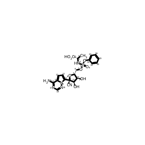 C[C@H](NP(=O)(OC[C@H]1O[C@@](C#N)(c2ccc3c(N)ncnn23)[C@H](O)[C@@H]1O)Oc1ccccc1)C(=O)O